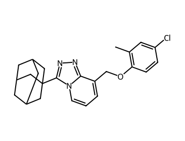 Cc1cc(Cl)ccc1OCc1cccn2c(C34CC5CC(CC(C5)C3)C4)nnc12